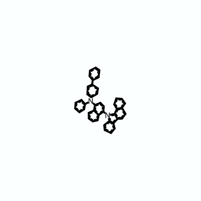 c1ccc(-c2ccc(N(c3ccccc3)c3ccc(-n4c5ccccc5c5ccc6ccccc6c54)c4ccccc34)cc2)cc1